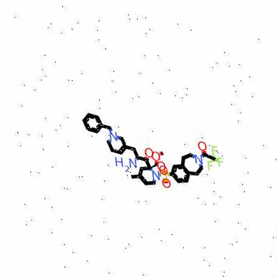 COC(=O)[C@]1(C(=O)C(N)CC2=CCCN(Cc3ccccc3)C2)CC(C)=CCN1S(=O)(=O)c1ccc2c(c1)CCN(C(=O)C(F)(F)F)CC2